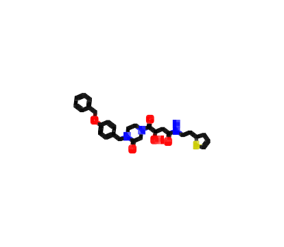 O=C(C[C@@H](O)C(=O)N1CCN(Cc2ccc(OCc3ccccc3)cc2)C(=O)C1)NCCC1CC=CS1